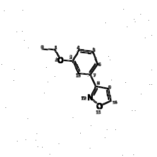 CCOc1cccc(-c2ccon2)c1